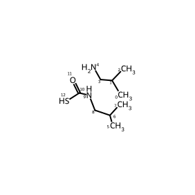 CC(C)CN.CC(C)CNC(=O)S